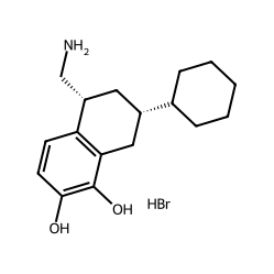 Br.NC[C@@H]1C[C@H](C2CCCCC2)Cc2c1ccc(O)c2O